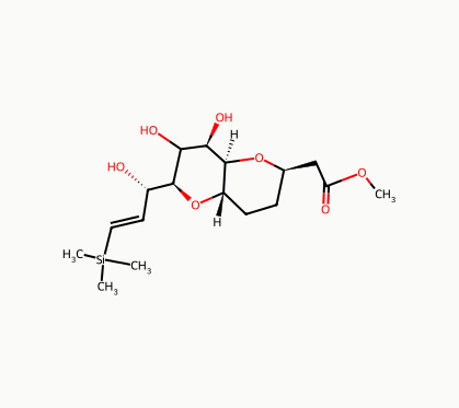 COC(=O)C[C@H]1CC[C@@H]2O[C@@H]([C@@H](O)C=C[Si](C)(C)C)C(O)[C@@H](O)[C@H]2O1